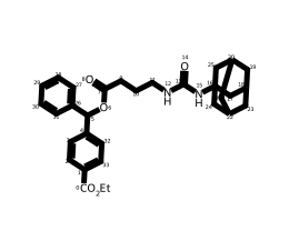 CCOC(=O)c1ccc(C(OC(=O)CCCNC(=O)NC23CC4CC(CC(C4)C2)C3)c2ccccc2)cc1